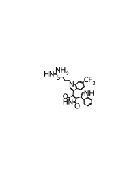 N=C(N)SCCCn1cc(C2=C(c3c[nH]c4ccccc34)C(=O)NC2=O)c2ccc(C(F)(F)F)cc21